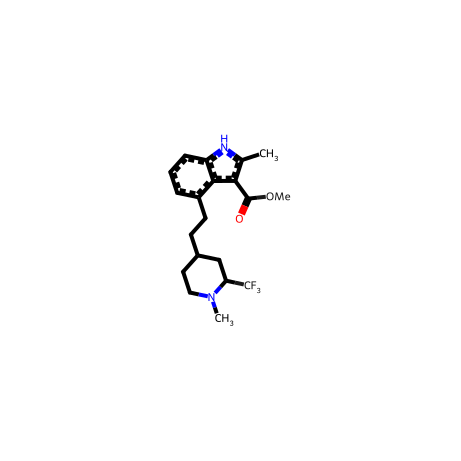 COC(=O)c1c(C)[nH]c2cccc(CCC3CCN(C)C(C(F)(F)F)C3)c12